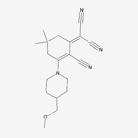 COCC1CCN(C2=C(C#N)C(=C(C#N)C#N)CC(C)(C)C2)CC1